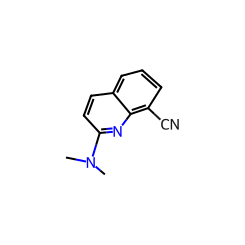 CN(C)c1ccc2cccc(C#N)c2n1